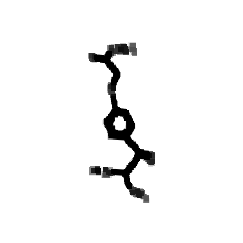 CC(C)C(=O)c1ccc(OCC(=O)O)cc1